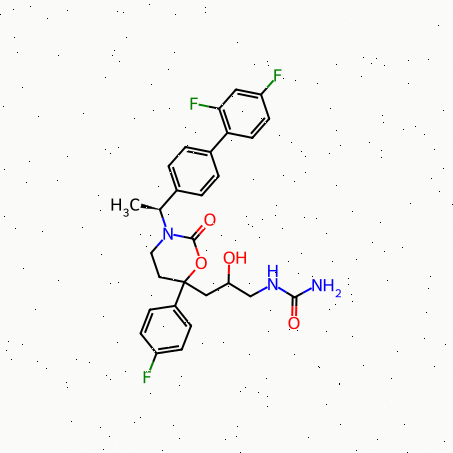 C[C@@H](c1ccc(-c2ccc(F)cc2F)cc1)N1CCC(CC(O)CNC(N)=O)(c2ccc(F)cc2)OC1=O